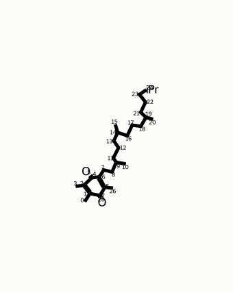 CC1=C(C)C(=O)C(CCC(C)CCCC(C)CCCC(C)CCCC(C)C)=C(C)C1=O